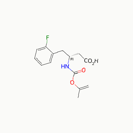 C=C(C)OC(=O)N[C@@H](CC(=O)O)Cc1ccccc1F